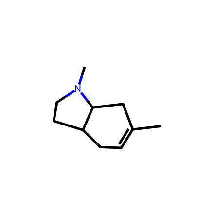 CC1=CCC2CCN(C)C2C1